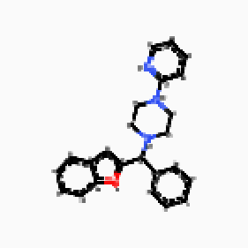 c1ccc(C(c2cc3ccccc3o2)N2CCN(c3ccccn3)CC2)cc1